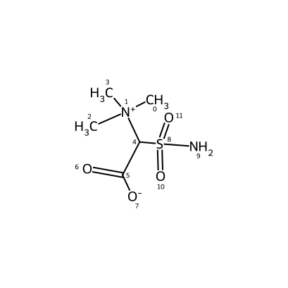 C[N+](C)(C)C(C(=O)[O-])S(N)(=O)=O